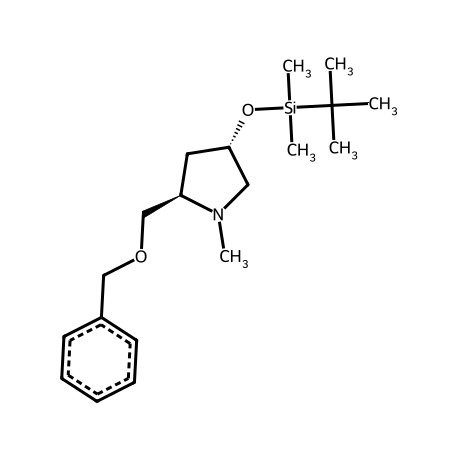 CN1C[C@@H](O[Si](C)(C)C(C)(C)C)C[C@@H]1COCc1ccccc1